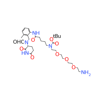 Cc1cccc(NC(=O)CCCCN(CCOCCOCCOCCN)C(=O)OC(C)(C)C)c1CN(C=O)C1CCC(=O)NC1=O